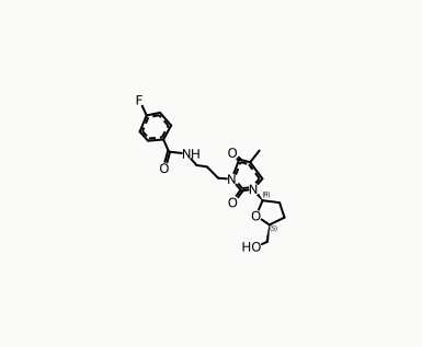 Cc1cn([C@H]2CC[C@@H](CO)O2)c(=O)n(CCCNC(=O)c2ccc(F)cc2)c1=O